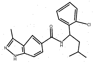 Cc1n[nH]c2ccc(C(=O)NC(CC(C)C)c3ccccc3Cl)cc12